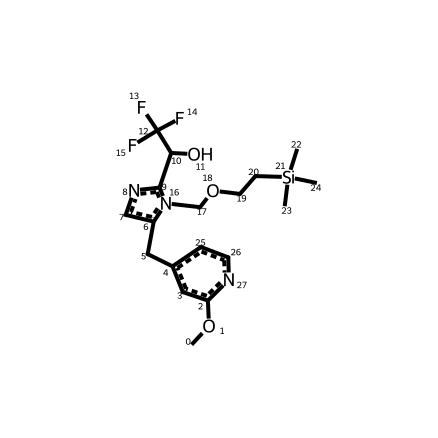 COc1cc(Cc2cnc(C(O)C(F)(F)F)n2COCC[Si](C)(C)C)ccn1